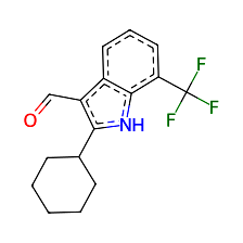 O=Cc1c(C2CCCCC2)[nH]c2c(C(F)(F)F)cccc12